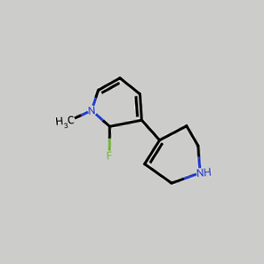 CN1C=CC=C(C2=CCNCC2)C1F